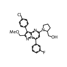 COCc1nn2c(-c3cccc(F)c3)cc(N3CCCC3CO)nc2c1-c1ccc(Cl)cc1